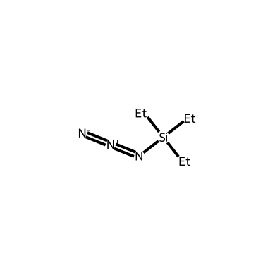 CC[Si](CC)(CC)N=[N+]=[N-]